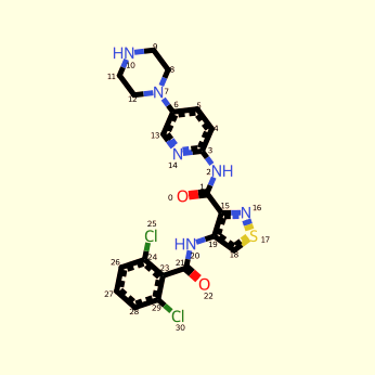 O=C(Nc1ccc(N2CCNCC2)cn1)c1nscc1NC(=O)c1c(Cl)cccc1Cl